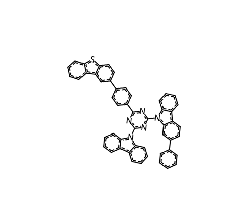 c1ccc(-c2ccc3c4ccccc4n(-c4nc(-c5ccc(-c6ccc7sc8ccccc8c7c6)cc5)nc(-n5c6ccccc6c6ccccc65)n4)c3c2)cc1